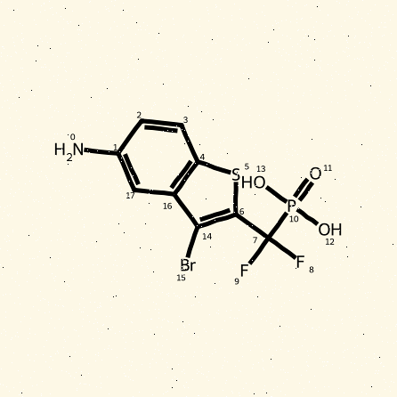 Nc1ccc2sc(C(F)(F)P(=O)(O)O)c(Br)c2c1